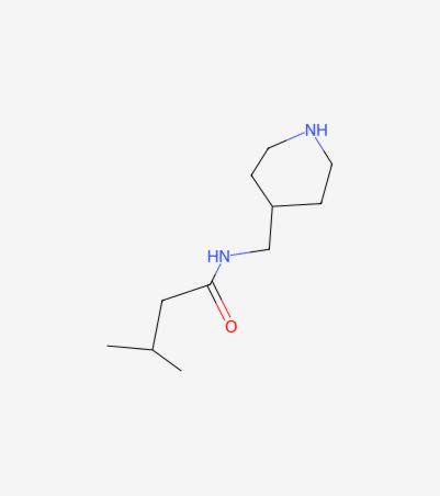 CC(C)CC(=O)NCC1CCNCC1